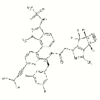 CC(C)C(O)C#Cc1ccc(-c2cccc3c(NS(C)(=O)=O)nn(C)c23)c([C@H](Cc2cc(F)cc(F)c2)NC(=O)Cn2nc(C(F)(F)F)c3c2C(F)(F)[C@@H]2C#C[C@H]32)n1